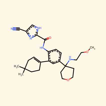 COCCNC1(c2ccc(NC(=O)c3nc(C#N)c[nH]3)c(C3=CCC(C)(C)CC3)c2)CCOCC1